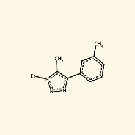 CCn1nnc(-c2cccc(C)c2)c1C